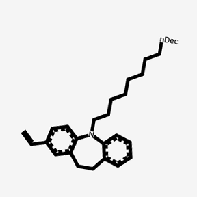 C=Cc1ccc2c(c1)CCc1ccccc1N2CCCCCCCCCCCCCCCCCC